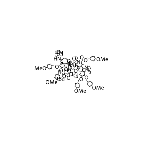 COc1ccc(COC(=O)C2=C(C[N+]3([C@H](C)CN(CCCNC(=O)c4ccc(OCc5ccc(OC)cc5)c(OCc5ccc(OC)cc5)c4Cl)C(=O)c4ccc(OCc5ccc(OC)cc5)c(OCc5ccc(OC)cc5)c4Cl)CCCC3)CS[C@@H]3[C@H](NC(=O)/C(=N\OC(C)(C)C(=O)OC(C)(C)C)C4=CSC(NC(=O)OC(C)(C)C)=CCC4)C4(CCO4)N23)cc1